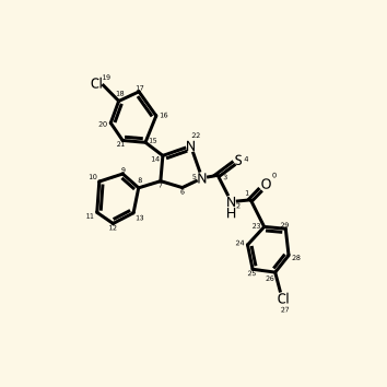 O=C(NC(=S)N1CC(c2ccccc2)C(c2ccc(Cl)cc2)=N1)c1ccc(Cl)cc1